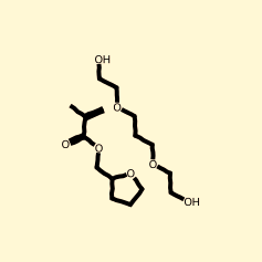 C=C(C)C(=O)OCC1CCCO1.OCCOCCCOCCO